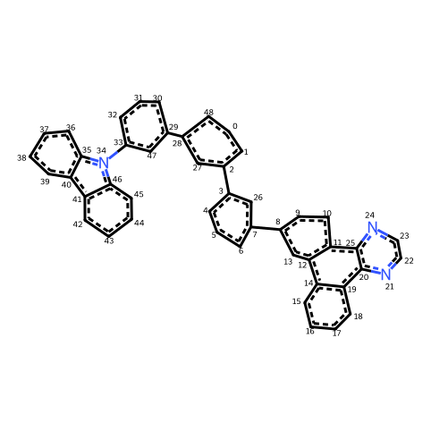 c1cc(-c2cccc(-c3ccc4c(c3)c3ccccc3c3nccnc43)c2)cc(-c2cccc(-n3c4ccccc4c4ccccc43)c2)c1